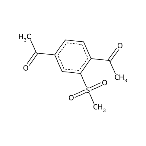 CC(=O)c1ccc(C(C)=O)c(S(C)(=O)=O)c1